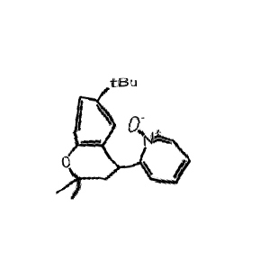 CC1(C)CC(c2cccc[n+]2[O-])c2cc(C(C)(C)C)ccc2O1